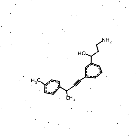 Cc1ccc(C(C)C#Cc2cccc(C(O)CCN)c2)cc1